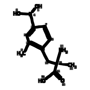 Cc1cc(B(O)O)ccc1C[C@@](C)(N)C(=O)O